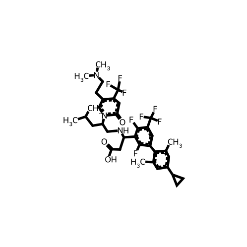 Cc1cc(C2CC2)cc(C)c1-c1cc(C(F)(F)F)c(F)c(C(CC(=O)O)NCC(CC(C)C)n2cc(CCN(C)C)c(C(F)(F)F)cc2=O)c1F